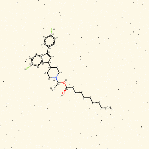 CCCCCCCCCC(=O)OC(C)N1CCC(C2C=C(c3ccc(F)cc3)c3ccc(F)cc32)CC1